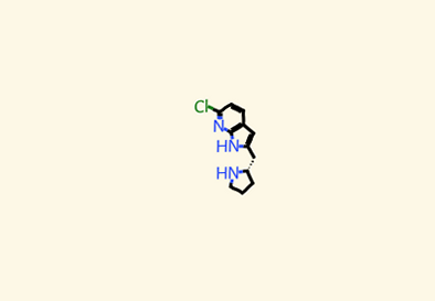 Clc1ccc2cc(C[C@@H]3CCCN3)[nH]c2n1